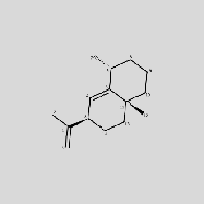 C=C(C)[C@H]1C=C2[C@H](C)CCC[C@]2(C)CC1